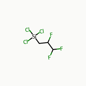 FC(F)C(F)C[Si](Cl)(Cl)Cl